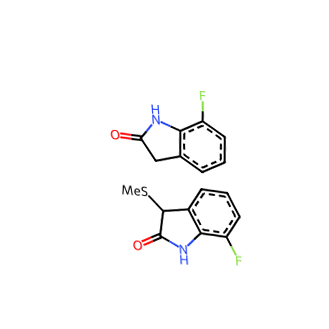 CSC1C(=O)Nc2c(F)cccc21.O=C1Cc2cccc(F)c2N1